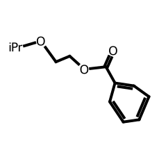 CC(C)OCCOC(=O)c1ccccc1